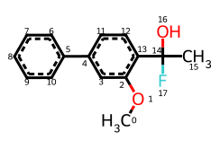 COc1cc(-c2ccccc2)ccc1C(C)(O)F